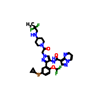 CC(F)(F)CNC1CCN(C(=O)Cn2cc(NC(=O)c3cnn4cccnc34)c(-c3cc(SC4CC4)ccc3OC(F)F)n2)CC1